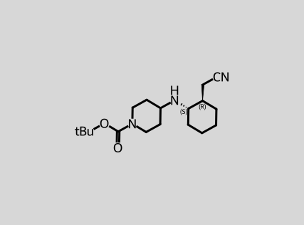 CC(C)(C)OC(=O)N1CCC(N[C@H]2CCCC[C@@H]2CC#N)CC1